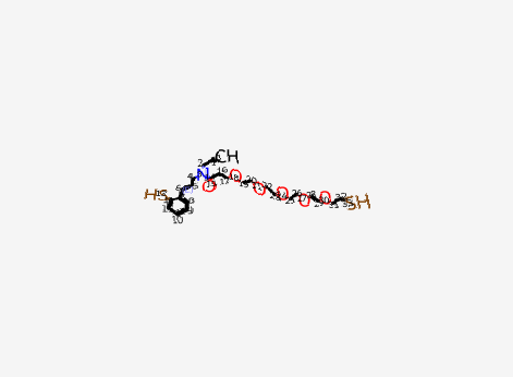 C#CCN(C/C=C/c1ccccc1S)C(=O)CCOCCOCCOCCOCCOCCS